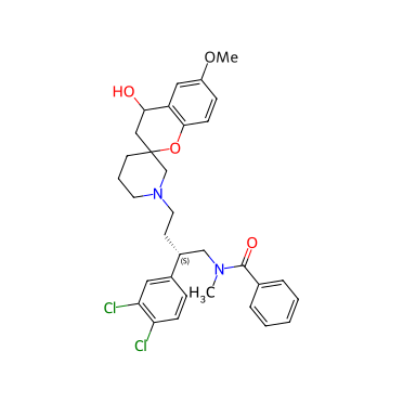 COc1ccc2c(c1)C(O)CC1(CCCN(CC[C@H](CN(C)C(=O)c3ccccc3)c3ccc(Cl)c(Cl)c3)C1)O2